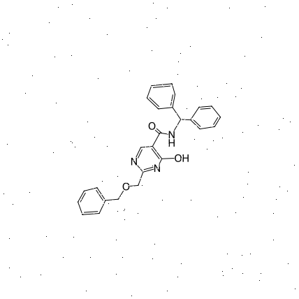 O=C(NC(c1ccccc1)c1ccccc1)c1cnc(COCc2ccccc2)nc1O